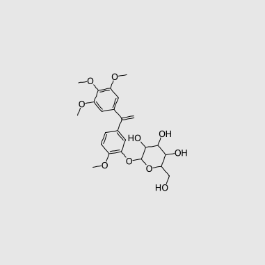 C=C(c1ccc(OC)c(OC2OC(CO)C(O)C(O)C2O)c1)c1cc(OC)c(OC)c(OC)c1